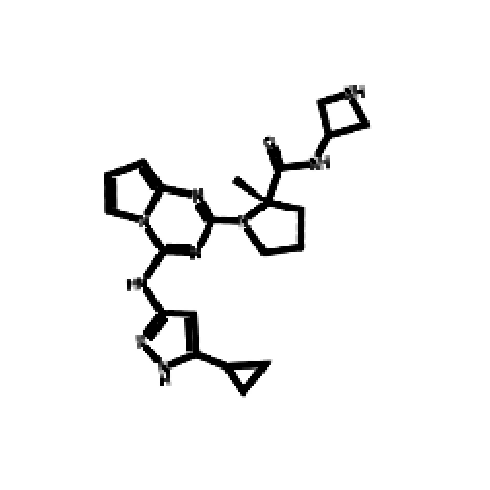 C[C@@]1(C(=O)NC2CNC2)CCCN1c1nc(Nc2cc(C3CC3)[nH]n2)n2cccc2n1